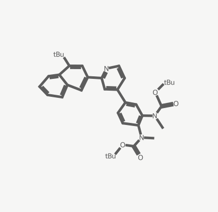 CN(C(=O)OC(C)(C)C)c1ccc(-c2ccnc(-c3cc(C(C)(C)C)c4ccccc4c3)c2)cc1N(C)C(=O)OC(C)(C)C